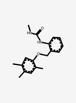 CNC(=O)Nc1ccccc1COc1cc(C)c(C)cc1C